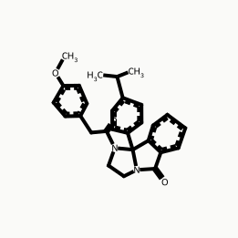 COc1ccc(CC(=O)N2CCN3C(=O)c4ccccc4C23c2ccc(C(C)C)cc2)cc1